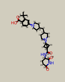 CC(C)(C)c1cc(N2CCC(CC3CCN(C45CC(C(=O)NC6CCC(=O)NC6=O)(C4)C5)CC3)CC2)ccc1C(=O)O